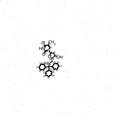 Cc1cn([C@H]2C[C@H](O)[C@@H](CNC(c3ccccc3)(c3ccccc3)c3ccccc3)O2)c(=O)[nH]c1=O